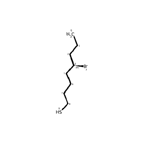 CCC[C@@H](Br)CCCCS